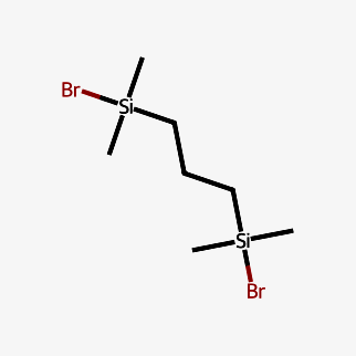 C[Si](C)(Br)CCC[Si](C)(C)Br